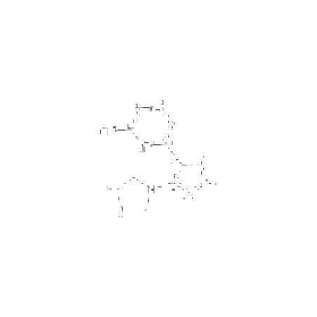 Clc1cccc(-n2cnnc2N2CCCC2)c1